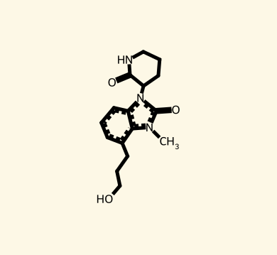 Cn1c(=O)n(C2CCCNC2=O)c2cccc(CCCO)c21